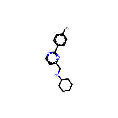 FC(F)(F)c1ccc(-c2nccc(CN[C]3CCCCC3)n2)cc1